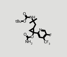 CC(C)(CC1CC1(OC(N)=O)c1cc(C(F)(F)F)c(F)cn1)NC(=O)OC(C)(C)C